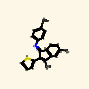 COc1ccc(/N=C2/C(c3cccs3)=C(C=O)c3cc(C(F)(F)F)ccc32)cc1